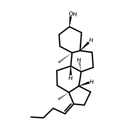 CCC/C=C1/CC[C@H]2[C@@H]3CC[C@H]4C[C@H](O)CC[C@]4(C)[C@H]3CC[C@]12C